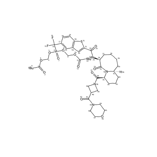 CC(C)(C)C(=O)OCOP(=O)(OCOC(=O)C(C)(C)C)C(F)(F)c1ccc2sc(C(=O)N[C@H]3CCCC[C@H]4CCC[C@@H](C(=O)N5CC(C(=O)N6CCOCC6)C5)N4C3=O)cc2c1